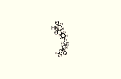 CC(C)(C)OC(=O)N1CC(F)(CCc2ccc([C@@H]3CCC(=O)NC3=O)cc2)C1